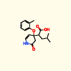 Cc1ccccc1OC1(C(CC(C)C)C(=O)O)C=CNC(=O)C1